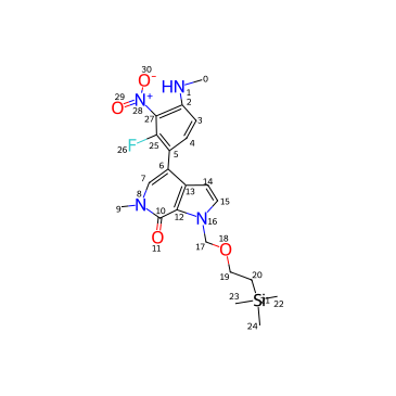 CNc1ccc(-c2cn(C)c(=O)c3c2ccn3COCC[Si](C)(C)C)c(F)c1[N+](=O)[O-]